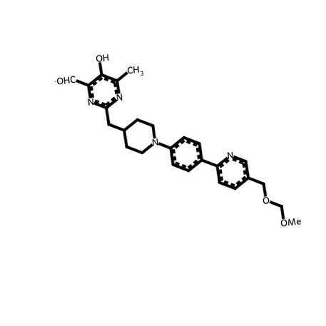 COCOCc1ccc(-c2ccc(N3CCC(Cc4nc(C)c(O)c([C]=O)n4)CC3)cc2)nc1